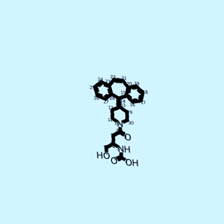 O=C(O)NC(CO)CC(=O)N1CCC(=C2c3ccccc3C=Cc3ccccc32)CC1